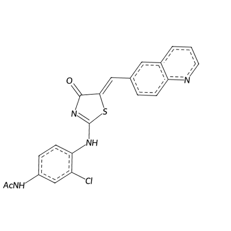 CC(=O)Nc1ccc(NC2=NC(=O)/C(=C/c3ccc4ncccc4c3)S2)c(Cl)c1